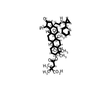 CC(C)C1=C2[C@H]3CC[C@@H]4[C@@]5(C)CC[C@H](OC(=O)CC(C)(C)C(=O)O)C(C)(C)[C@@H]5CC[C@@]4(C)[C@]3(C)CC[C@@]2(CCNC2(c3ccccn3)CC2)CC1=O